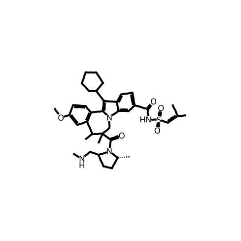 CNCC1CC[C@@H](C)N1C(=O)C1(C)Cn2c(c(C3CCCCC3)c3ccc(C(=O)NS(=O)(=O)C=C(C)C)cc32)-c2ccc(OC)cc2C1C